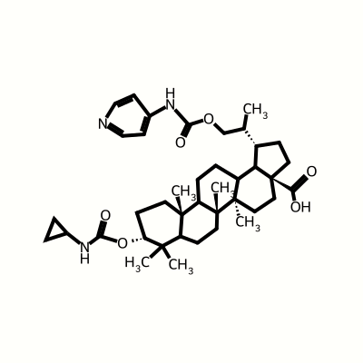 CC(COC(=O)Nc1ccncc1)[C@@H]1CC[C@]2(C(=O)O)CC[C@]3(C)C(CCC4[C@@]5(C)CC[C@@H](OC(=O)NC6CC6)C(C)(C)C5CC[C@]43C)C12